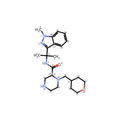 Cn1nc(C(C)(C)NC(=O)[C@@H]2CNCCN2CC2CCOCC2)c2ccccc21